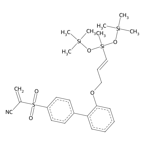 C=C(C#N)S(=O)(=O)c1ccc(-c2ccccc2OCC=C[Si](C)(O[Si](C)(C)C)O[Si](C)(C)C)cc1